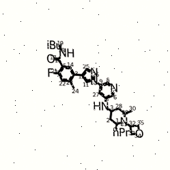 CCCC1CC(Nc2cncc(-n3cc(-c4cc(C(=O)NC(C)CC)c(F)cc4C)cn3)c2)CC(C)N1C1COC1